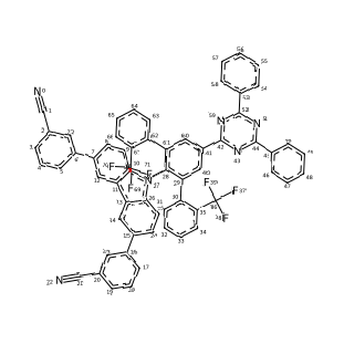 N#Cc1cccc(-c2ccc3c(c2)c2cc(-c4cccc(C#N)c4)ccc2n3-c2c(-c3ccccc3C(F)(F)F)cc(-c3nc(-c4ccccc4)nc(-c4ccccc4)n3)cc2-c2ccccc2C(F)(F)F)c1